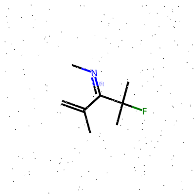 C=C(C)/C(=N\C)C(C)(C)F